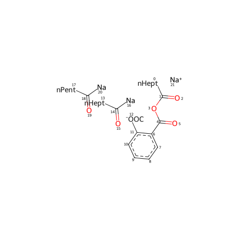 CCCCCCCC(=O)OC(=O)c1ccccc1C(=O)[O-].CCCCCCC[C](=O)[Na].CCCCC[C](=O)[Na].[Na+]